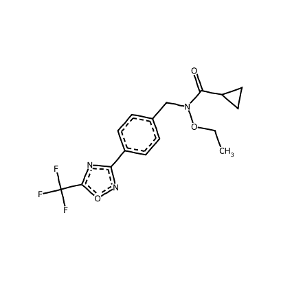 CCON(Cc1ccc(-c2noc(C(F)(F)F)n2)cc1)C(=O)C1CC1